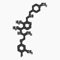 C=C(COc1ccc(F)c(C)c1)NC(=C)c1ccnc(CNCC2CCN(C)CC2)c1C